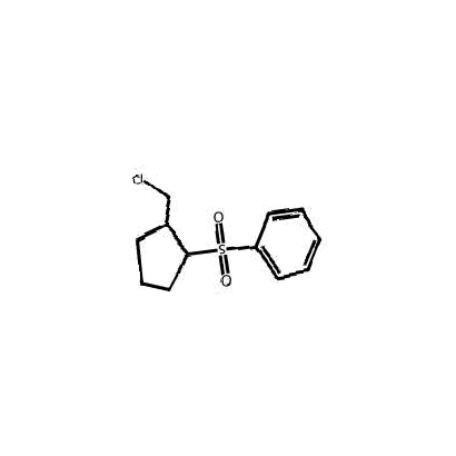 O=S(=O)(c1ccccc1)C1CCCC1CCl